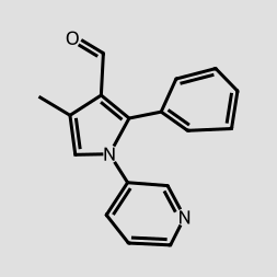 Cc1cn(-c2cccnc2)c(-c2ccccc2)c1C=O